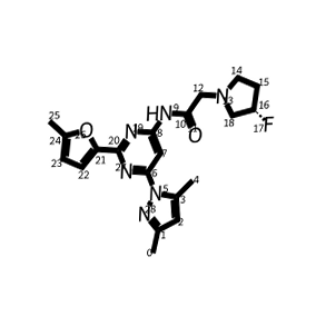 Cc1cc(C)n(-c2cc(NC(=O)CN3CC[C@H](F)C3)nc(-c3ccc(C)o3)n2)n1